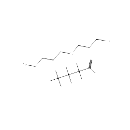 NCCCCNCCCO.O=C(O)C(F)(F)C(F)(F)C(F)(F)F